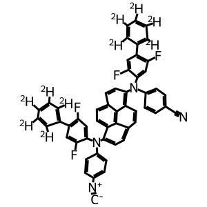 [2H]c1c([2H])c([2H])c(-c2cc(F)c(N(c3ccc(C#N)cc3)c3ccc4ccc5c(N(c6ccc([N+]#[C-])cc6)c6cc(F)c(-c7c([2H])c([2H])c([2H])c([2H])c7[2H])cc6F)ccc6ccc3c4c65)cc2F)c([2H])c1[2H]